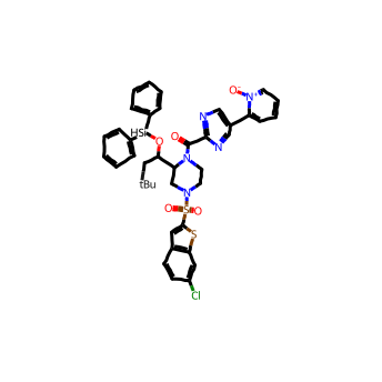 CC(C)(C)CC(O[SiH](c1ccccc1)c1ccccc1)C1CN(S(=O)(=O)c2cc3ccc(Cl)cc3s2)CCN1C(=O)c1ncc(-c2cccc[n+]2[O-])cn1